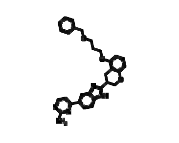 Nc1nccc(-c2ccc3[nH]c(C4COc5cccc(OCCCOCc6ccccc6)c5C4)nc3c2)n1